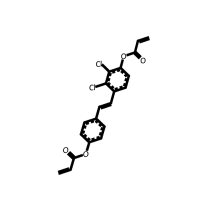 C=CC(=O)Oc1ccc(C=Cc2ccc(OC(=O)C=C)c(Cl)c2Cl)cc1